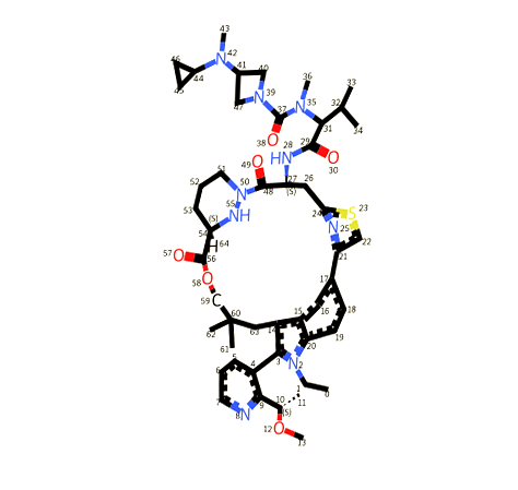 CCn1c(-c2cccnc2[C@H](C)OC)c2c3cc(ccc31)-c1csc(n1)C[C@H](NC(=O)C(C(C)C)N(C)C(=O)N1CC(N(C)C3CC3)C1)C(=O)N1CCC[C@H](N1)C(=O)OCC(C)(C)C2